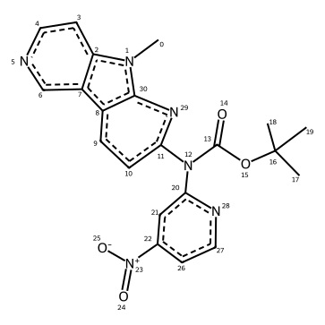 Cn1c2ccncc2c2ccc(N(C(=O)OC(C)(C)C)c3cc([N+](=O)[O-])ccn3)nc21